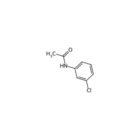 CC(=O)Nc1cccc(Cl)c1